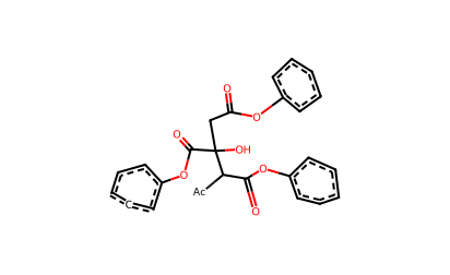 CC(=O)C(C(=O)Oc1ccccc1)C(O)(CC(=O)Oc1ccccc1)C(=O)Oc1ccccc1